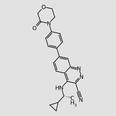 C[C@@H](Nc1c(C#N)nnc2cc(-c3ccc(N4CCOCC4=O)cc3)ccc12)C1CC1